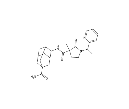 CC(c1ccccn1)N1CCC(C)(C(=O)NC2C3CC4CC2CC(C(N)=O)(C4)C3)C1=O